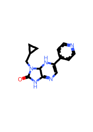 O=C1NC2=NC=C(c3ccncc3)NC2N1CC1CC1